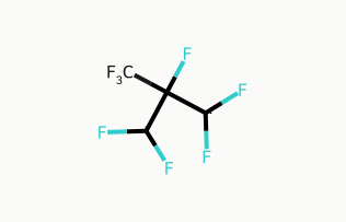 F[C](F)C(F)([C](F)F)C(F)(F)F